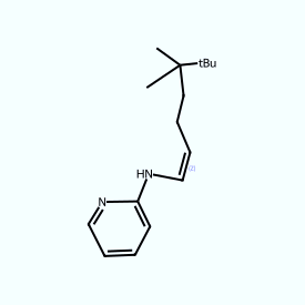 CC(C)(C)C(C)(C)CC/C=C\Nc1ccccn1